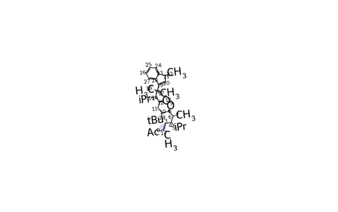 CC(=O)/C(C)=C/C(C(C)C)C(C)C(=O)C(CC(=O)C(C(C)C)C(C)(C)C1=CC(C)c2ccccc21)C(C)(C)C